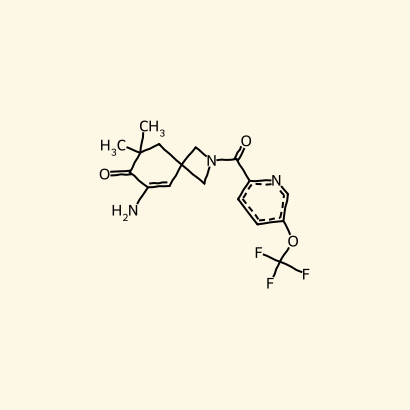 CC1(C)CC2(C=C(N)C1=O)CN(C(=O)c1ccc(OC(F)(F)F)cn1)C2